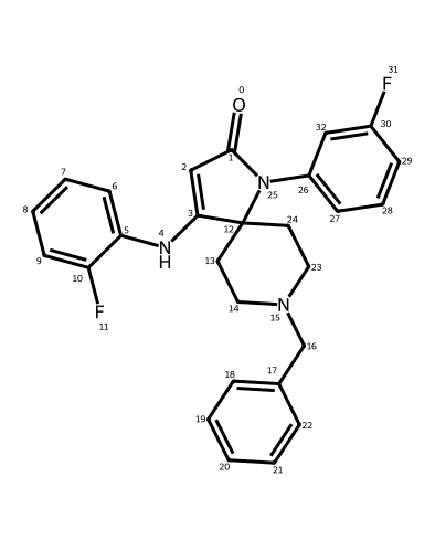 O=C1C=C(Nc2ccccc2F)C2(CCN(Cc3ccccc3)CC2)N1c1cccc(F)c1